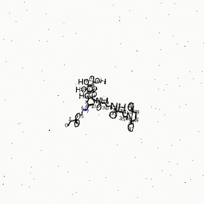 CCC(=O)OC/C=C/c1ccc(O[C@@H]2O[C@H](C(=O)O)[C@@H](O)[C@H](O)[C@H]2O)c(NC(=O)CCNC(=O)CCN2C(=O)C=CC2=O)c1